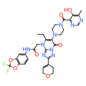 CCc1c(N2CCN(C(=O)c3ncnc(C)c3O)CC2)c(=O)n2nc(C3=CCOCC3)nc2n1CC(=O)Nc1ccc2c(c1)OC(F)(F)O2